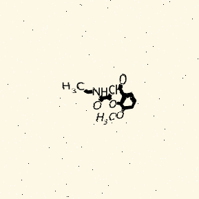 CCNC(=O)C(C)Oc1c(C=O)cccc1OC